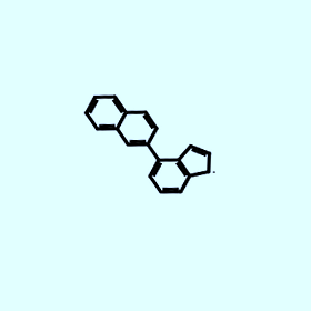 [CH]1C=Cc2c1cccc2-c1ccc2ccccc2c1